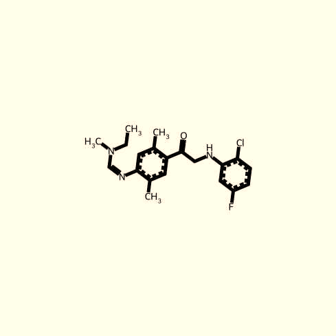 CCN(C)/C=N\c1cc(C)c(C(=O)CNc2cc(F)ccc2Cl)cc1C